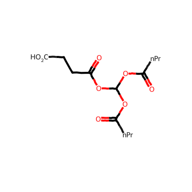 CCCC(=O)OC(OC(=O)CCC)OC(=O)CCC(=O)O